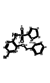 O=S(=O)(Nc1ncc(Br)nc1OCc1ccccc1)c1cccs1